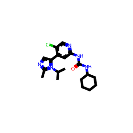 Cc1ncc(-c2cc(NC(=O)NC3CCCCC3)ncc2Cl)n1C(C)C